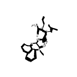 C=CC[C@H](C(N)=O)[C@@H](CC(C)C)C(=O)NC1N=C2CCCc3cccc(c32)N(C)C1=O